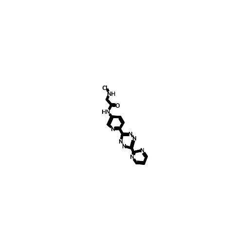 O=C(CNCl)Nc1ccc(-c2nnc(-c3ncccn3)nn2)nc1